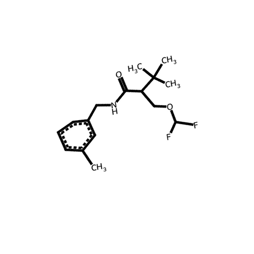 Cc1cccc(CNC(=O)[C](COC(F)F)C(C)(C)C)c1